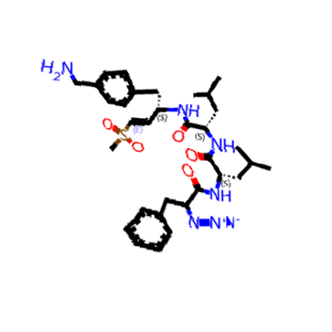 CC(C)C[C@H](NC(=O)C(Cc1ccccc1)N=[N+]=[N-])C(=O)N[C@@H](CC(C)C)C(=O)N[C@H](/C=C/S(C)(=O)=O)Cc1ccc(CN)cc1